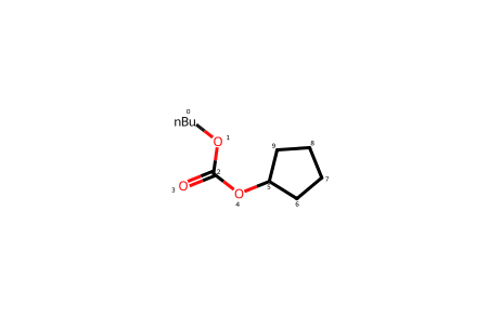 [CH2]CCCOC(=O)OC1CCCC1